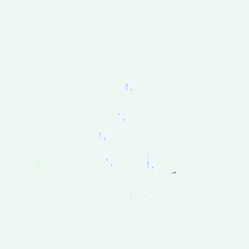 O=C(N[C@@H](CSCc1ccccc1)C(=O)O)c1cc(N2CCN(c3ccccc3)CC2)nc(-c2ccc(Cl)c(Cl)c2)n1